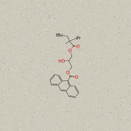 CC(C)C(C)(CC(C)(C)C)C(=O)OCC(O)COC(=O)c1c2ccccc2cc2ccccc12